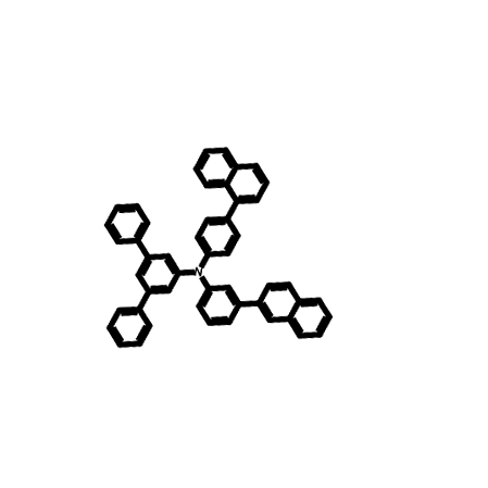 c1ccc(-c2cc(-c3ccccc3)cc(N(c3ccc(-c4cccc5ccccc45)cc3)c3cccc(-c4ccc5ccccc5c4)c3)c2)cc1